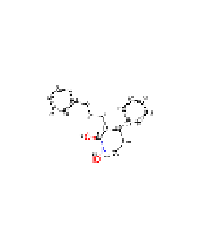 O=C1C(CCCc2ccccc2)C(c2ccccc2)CCN1O